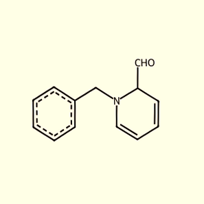 O=CC1C=CC=CN1Cc1ccccc1